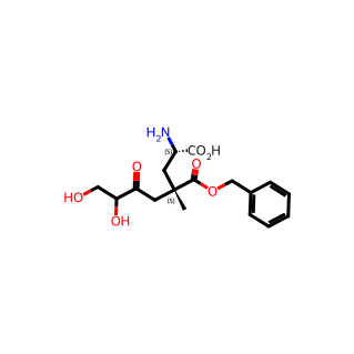 C[C@@](CC(=O)C(O)CO)(C[C@H](N)C(=O)O)C(=O)OCc1ccccc1